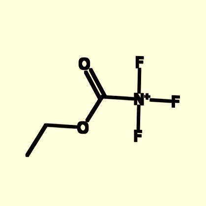 CCOC(=O)[N+](F)(F)F